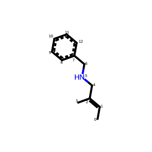 C/C=C(\C)CNCc1ccccc1